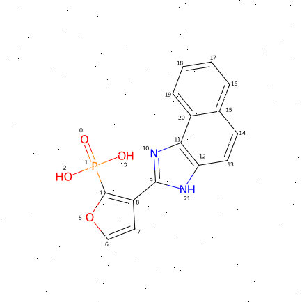 O=P(O)(O)c1occc1-c1nc2c(ccc3ccccc32)[nH]1